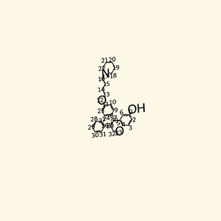 Oc1ccc2c(c1)[C@@H](c1ccc(OCCCCN3CCCCC3)cc1)[C@@H](c1ccccc1)CO2